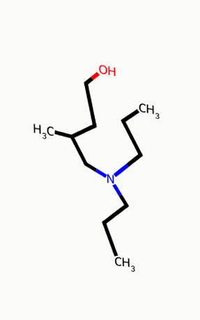 CCCN(CCC)CC(C)CCO